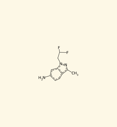 Cc1nn(CC(F)F)c2cc(N)ccc12